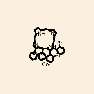 Brc1ccccc1C1=Cc2cc3ccc(cc4nc(cc5[nH]c(c(-c6ccccc6Br)c1n2)c(-c1ccccc1Br)c5-c1ccccc1Br)C=C4)[nH]3.[Co]